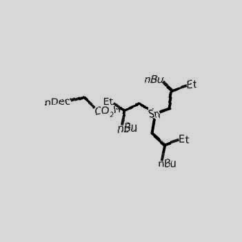 CCCCC(CC)[CH2][Sn]([CH2]C(CC)CCCC)[CH2]C(CC)CCCC.CCCCCCCCCCCC(=O)O